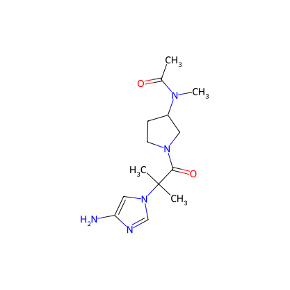 CC(=O)N(C)C1CCN(C(=O)C(C)(C)n2cnc(N)c2)C1